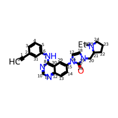 C#Cc1cccc(Nc2ncnc3ccc(-n4ccn(CC5CCCN5CC)c4=O)cc23)c1